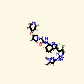 Cc1cc(Nc2ncc(F)c(-c3c[nH]c4c(NC(=O)CN5CC[C@H](Oc6ccncc6)C5)cccc34)n2)nn1C